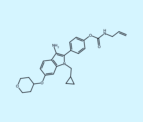 C=CCNC(=O)Oc1ccc(-c2c(N)c3ccc(OC4CCOCC4)cc3n2CC2CC2)cc1